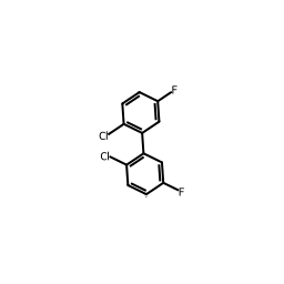 Fc1[c]cc(Cl)c(-c2cc(F)ccc2Cl)c1